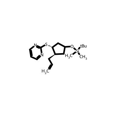 C=CC[C@@H]1CC(O[Si](C)(C)C(C)(C)C)C[C@H]1Sc1ncccn1